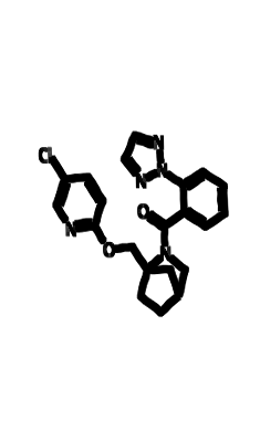 O=C(c1ccccc1-n1nccn1)N1CC2CCC1(COc1ccc(Cl)cn1)C2